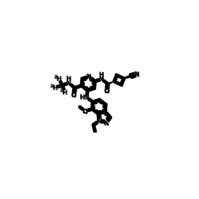 [2H]C([2H])([2H])NC(=O)c1cnc(NC(=O)[C@H]2C[C@H](C#N)C2)cc1Nc1ccc2cnn(CC)c2c1OC